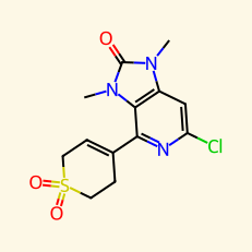 Cn1c(=O)n(C)c2c(C3=CCS(=O)(=O)CC3)nc(Cl)cc21